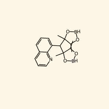 CC1OBOC1(C)C(c1cccc2cccnc12)C1(C)OBOC1C